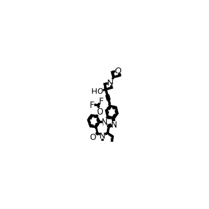 CCC1c2nc3ccc(C#CC4(O)CN(C5COC5)C4)cc3n2-c2c(OC(F)F)cccc2C(=O)N1C